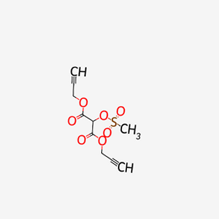 C#CCOC(=O)C(OS(C)(=O)=O)C(=O)OCC#C